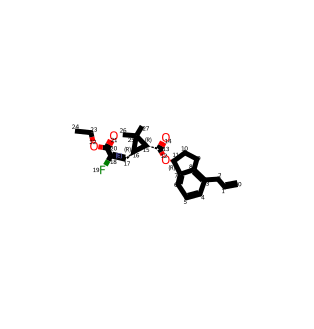 C=CCc1cccc2c1CC[C@H]2OC(=O)[C@@H]1[C@H](/C=C(/F)C(=O)OCC)C1(C)C